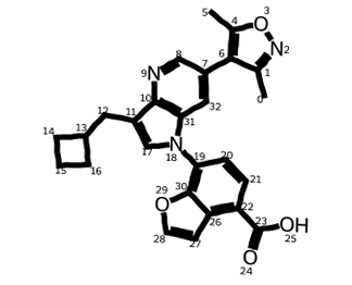 Cc1noc(C)c1-c1cnc2c(CC3CCC3)cn(-c3ccc(C(=O)O)c4ccoc34)c2c1